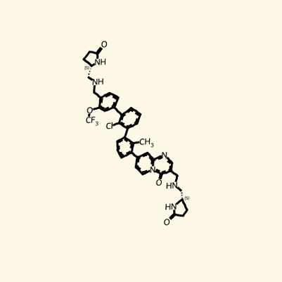 Cc1c(-c2ccn3c(=O)c(CNC[C@@H]4CCC(=O)N4)cnc3c2)cccc1-c1cccc(-c2ccc(CNC[C@@H]3CCC(=O)N3)c(OC(F)(F)F)c2)c1Cl